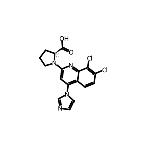 O=C(O)[C@@H]1CCCN1c1cc(-n2ccnc2)c2ccc(Cl)c(Cl)c2n1